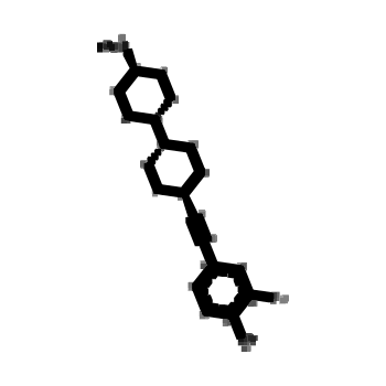 CCCCC[C@H]1CC[C@H]([C@H]2CC[C@H](C#Cc3ccc(CCC)c(F)c3)CC2)CC1